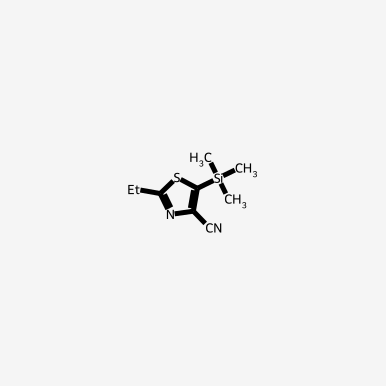 CCc1nc(C#N)c([Si](C)(C)C)s1